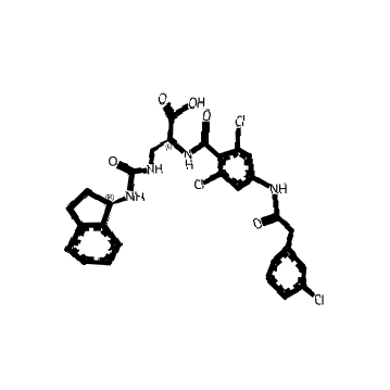 O=C(Cc1cccc(Cl)c1)Nc1cc(Cl)c(C(=O)N[C@@H](CNC(=O)N[C@@H]2CCc3ccccc32)C(=O)O)c(Cl)c1